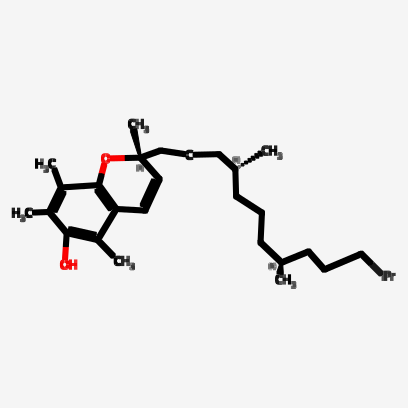 Cc1c(C)c2c(c(C)c1O)C=C[C@@](C)(CCC[C@H](C)CCC[C@H](C)CCCC(C)C)O2